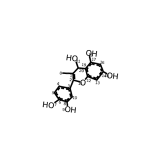 CC1=C(c2ccc(O)c(O)c2)Oc2cc(O)cc(O)c2C1O